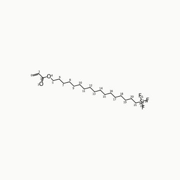 C=CC(=O)OCCCCCCCCCCCCCCCCC[Si](F)(F)F